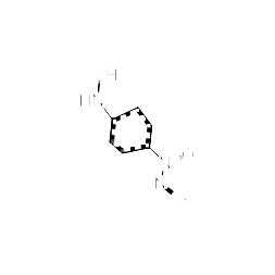 CNc1ccc([N+](=O)N=O)cc1